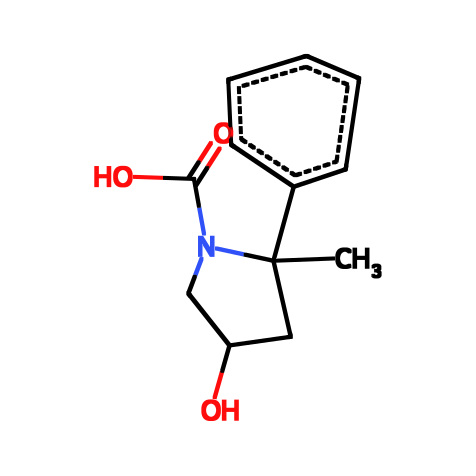 CC1(c2ccccc2)CC(O)CN1C(=O)O